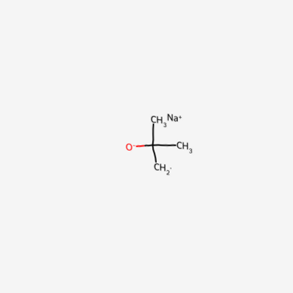 [CH2]C(C)(C)[O-].[Na+]